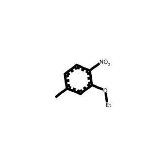 CCOc1cc(C)ccc1[N+](=O)[O-]